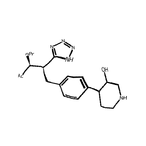 CCC[C@H](C(C)=O)[C@H](Cc1ccc(C2CCNCC2O)cc1)c1nnn[nH]1